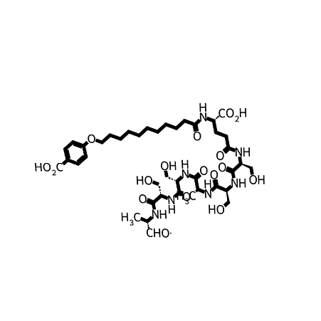 C[C@H](NC(=O)[C@H](CO)NC(=O)[C@H](CO)NC(=O)CC[C@H](NC(=O)CCCCCCCCCCOc1ccc(C(=O)O)cc1)C(=O)O)C(=O)N[C@@H](CO)C(=O)N[C@@H](CO)C(=O)N[C@@H](C)[C]=O